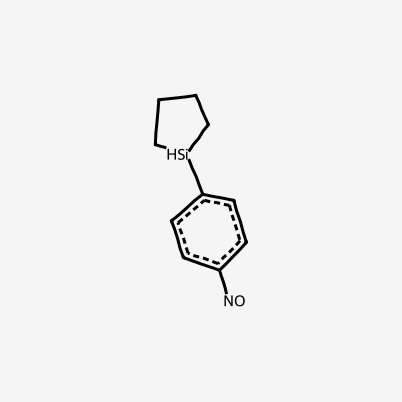 O=Nc1ccc([SiH]2CCCC2)cc1